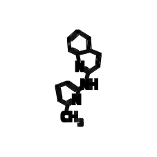 Cc1cccc(Nc2ccc3ccccc3n2)n1